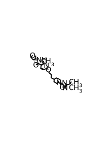 Cc1nc(OCCCC2CCN(c3nc(C(C)C)no3)CC2)ccc1C(=O)N[C@H]1CCOC1